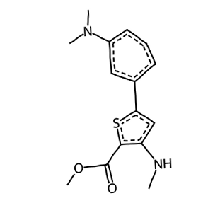 CNc1cc(-c2cccc(N(C)C)c2)sc1C(=O)OC